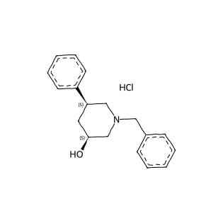 Cl.O[C@H]1C[C@@H](c2ccccc2)CN(Cc2ccccc2)C1